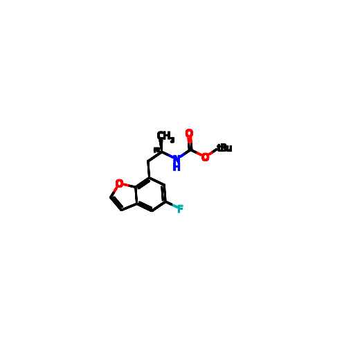 C[C@H](Cc1cc(F)cc2ccoc12)NC(=O)OC(C)(C)C